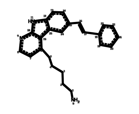 NCCCCCc1ccnc2[nH]c3ccc(C=Cc4ccccc4)cc3c12